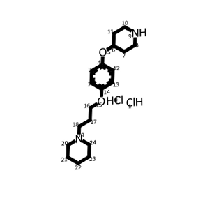 Cl.Cl.c1cc(OC2CCNCC2)ccc1OCCCN1CCCCC1